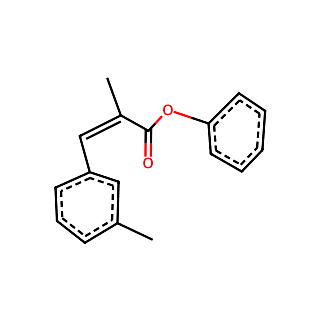 CC(=Cc1cccc(C)c1)C(=O)Oc1ccccc1